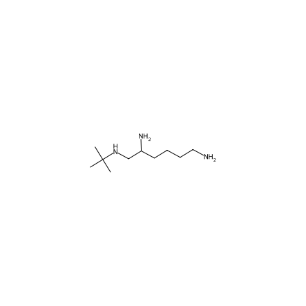 CC(C)(C)NCC(N)CCCCN